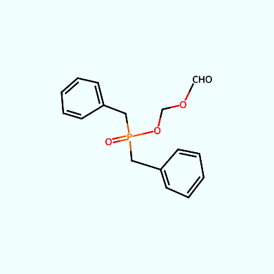 O=COCOP(=O)(Cc1ccccc1)Cc1ccccc1